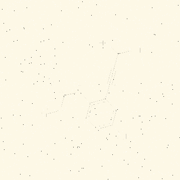 CC(O)C#Cc1cc(Cl)ncc1NC(=O)OC(C)(C)C